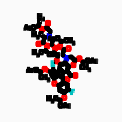 CC(=O)OC(C)OC(=O)CN(CC(=O)OC(C)OC(C)=O)c1cc2c(cc1OCCOCCN(CC(=O)OC(C)OC(C)=O)C(C)C(=O)OC(C)OC(C)=O)C1(OC2=O)c2cc(F)c(OC(C)OC(C)=O)cc2Oc2cc(OC(C)OC(C)=O)c(F)cc21